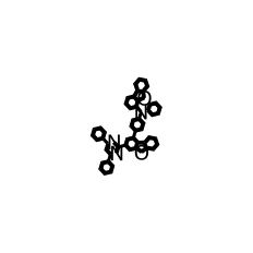 c1ccc(-c2cc(-c3ccccc3)nc(-c3cc(-c4ccc(N(c5ccccc5)c5cccc6c5oc5ccccc56)cc4)c4c(c3)oc3ccccc34)n2)cc1